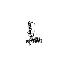 Cc1c(COc2cc(OCc3cncc(C#N)c3)c(CN[C@H](C(=O)O)C(C)C)cc2Cl)cccc1-c1ccc2oc(N3CCN(C)CC3)nc2c1